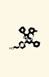 OCCN1CCN(c2cc(-c3ccccc3)nc3c(-c4cccc(F)c4F)c(-c4ccccc4)nn23)CC1